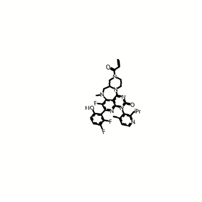 C=CC(=O)N1CCN2c3nc(=O)n(-c4c(C)ccnc4C(C)C)c4nc(-c5c(O)ccc(F)c5F)c(F)c(c34)N(C)CC2C1